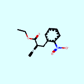 C=C=C(Cc1ccccc1[N+](=O)[O-])C(=O)OCC